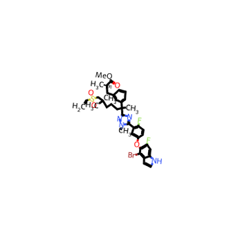 C=CS(=O)(=O)CC(C)(C)CCCC(C)(c1cccc(C[C@@H](C)C(=O)OC)c1)c1nc(-c2cc(Oc3c(F)cc4[nH]ccc4c3Br)ccc2F)n(C)n1